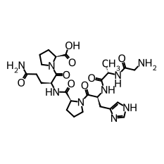 C[C@H](NC(=O)CN)C(=O)N[C@@H](Cc1c[nH]cn1)C(=O)N1CCC[C@H]1C(=O)N[C@@H](CCC(N)=O)C(=O)N1CCC[C@H]1C(=O)O